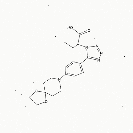 CCC(C(=O)O)n1nnnc1-c1ccc(N2CCC3(CC2)OCCO3)cc1